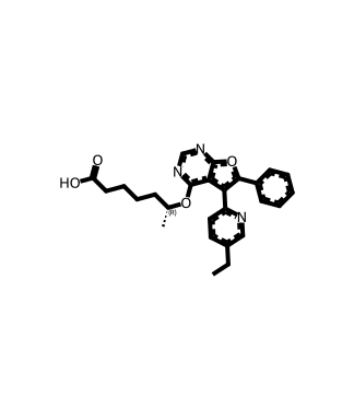 CCc1ccc(-c2c(-c3ccccc3)oc3ncnc(O[C@H](C)CCCCC(=O)O)c23)nc1